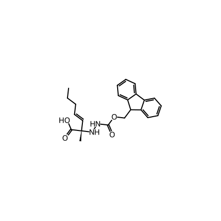 CCCC=C[C@](C)(NNC(=O)OCC1c2ccccc2-c2ccccc21)C(=O)O